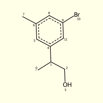 [CH2]C(CO)c1cc(C)cc(Br)c1